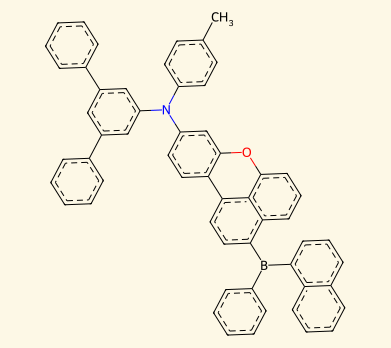 Cc1ccc(N(c2cc(-c3ccccc3)cc(-c3ccccc3)c2)c2ccc3c(c2)Oc2cccc4c(B(c5ccccc5)c5cccc6ccccc56)ccc-3c24)cc1